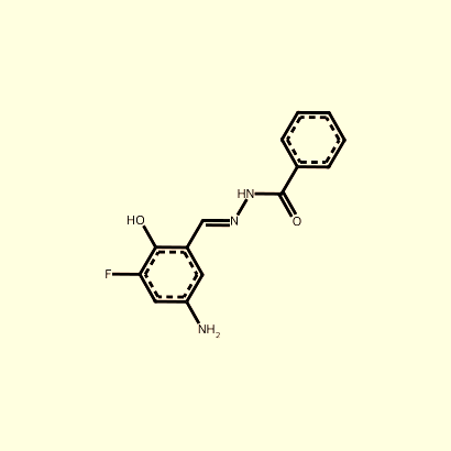 Nc1cc(F)c(O)c(/C=N/NC(=O)c2ccccc2)c1